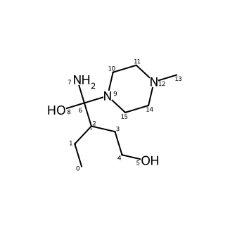 CC[C](CCO)C(N)(O)N1CCN(C)CC1